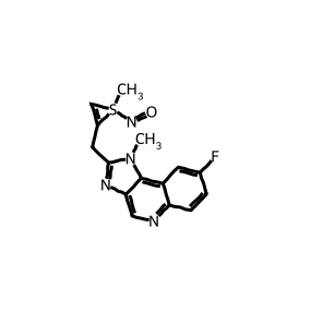 Cn1c(CC2=CS2(C)N=O)nc2cnc3ccc(F)cc3c21